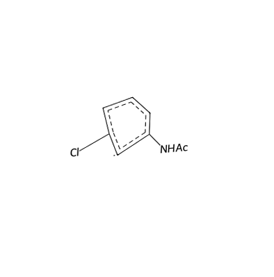 CC(=O)Nc1[c]c(Cl)ccc1